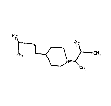 CC(C)CCC1CCN(C(C)C(C)C)CC1